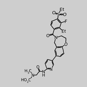 CCc1c(C(=O)N2CCOc3ccc(-c4ccc(NC(=O)CN(C)C(=O)O)nc4)cc3C2)ccc(S(=O)(=O)CC)c1F